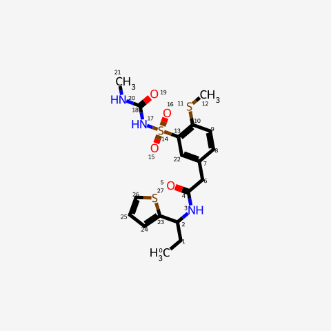 CCC(NC(=O)Cc1ccc(SC)c(S(=O)(=O)NC(=O)NC)c1)c1cccs1